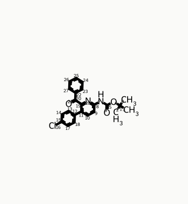 CC(C)(C)OC(=O)Nc1ccc(-c2ccc(Cl)cc2)c(C(=O)c2ccccc2)n1